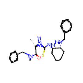 C[C@H](NC(=S)N[C@@H]1CCCC[C@H]1NCc1ccccc1)C(=O)N(C)Cc1ccccc1